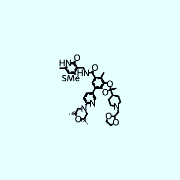 CSc1cc(C)[nH]c(=O)c1CNC(=O)c1cc(-c2ccc(N3C[C@@H](C)O[C@@H](C)C3)nc2)c2c(c1C)OC(C)(C1CCN(CC3OCCO3)CC1)O2